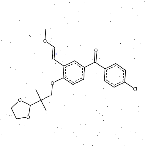 CO/C=C/c1cc(C(=O)c2ccc(Cl)cc2)ccc1OCC(C)(C)C1OCCO1